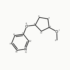 COC1CCC(Oc2cccnc2)C1